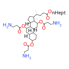 CCCCCCCOC(=O)CC[C@@H](C)C1CC[C@H]2[C@@H]3[C@H](OC(=O)CCN)C[C@@H]4C[C@H](OC(=O)CCN)CC[C@]4(C)[C@H]3C[C@H](OC(=O)CCN)[C@]12C